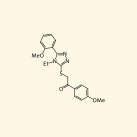 CCn1c(SCC(=O)c2ccc(OC)cc2)nnc1-c1ccccc1OC